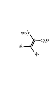 CCOC(=O)C(C(=O)OCC)=C(C(C)(C)C)C(C)(C)C